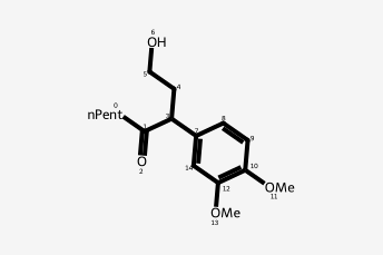 CCCCCC(=O)C(CCO)c1ccc(OC)c(OC)c1